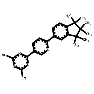 CC1(C)c2ccc(-c3ccc(-c4nc(C#N)nc(C#N)n4)cn3)cc2C(C)(C)C1(C)C